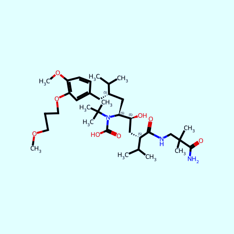 COCCCOc1cc(C[C@@H](C[C@@H]([C@@H](O)C[C@H](C(=O)NCC(C)(C)C(N)=O)C(C)C)N(C(=O)O)C(C)(C)C)C(C)C)ccc1OC